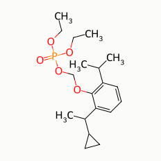 CCOP(=O)(OCC)OCOc1c(C(C)C)cccc1C(C)C1CC1